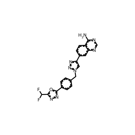 Nc1ncnc2cc(-c3cn(Cc4ccc(-c5nnc(C(F)F)o5)cc4)nn3)ccc12